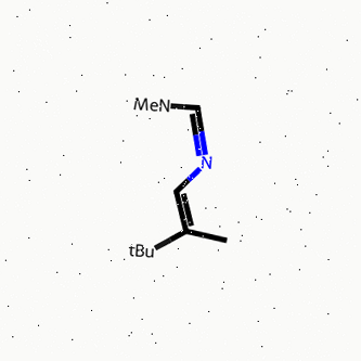 CN/C=N\C=C(/C)C(C)(C)C